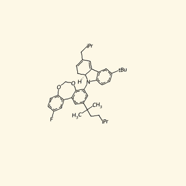 CC(C)CCC(C)(C)c1cc2c(c(N3c4ccc(C(C)(C)C)cc4C4=CC(CC(C)C)=CC[C@@H]43)c1)OCOc1ccc(F)cc1-2